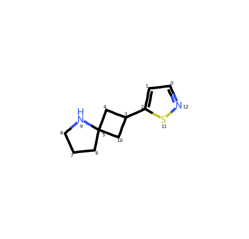 c1cc(C2CC3(CCCN3)C2)sn1